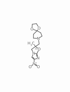 C[C@]1(CN2CCC3(CC2)OCCO3)Cn2cc([N+](=O)[O-])nc2O1